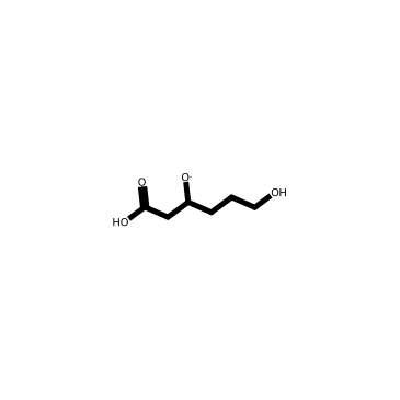 [O]C(CCCO)CC(=O)O